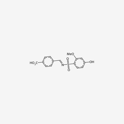 COc1cc(O)ccc1S(=O)(=O)/N=C/c1ccc(C(=O)O)cc1